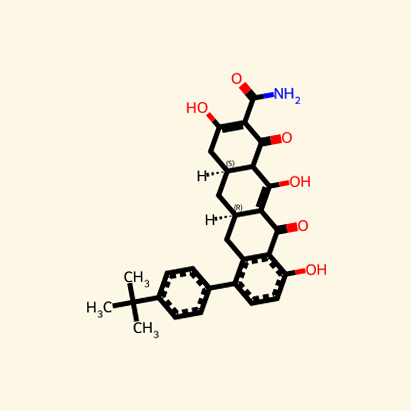 CC(C)(C)c1ccc(-c2ccc(O)c3c2C[C@H]2C[C@H]4CC(O)=C(C(N)=O)C(=O)C4C(O)=C2C3=O)cc1